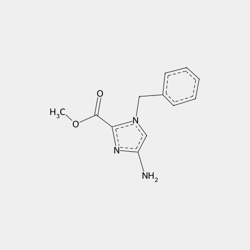 COC(=O)c1nc(N)cn1Cc1ccccc1